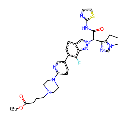 CC(C)(C)OC(=O)CCCN1CCN(c2ccc(-c3ccc4cn([C@@H](C(=O)Nc5nccs5)c5ncn6c5CCC6)nc4c3F)cn2)CC1